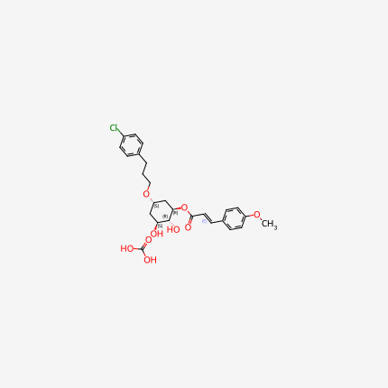 COc1ccc(/C=C/C(=O)O[C@@H]2C[C@@H](OCCCc3ccc(Cl)cc3)C[C@H](O)[C@H]2O)cc1.O=C(O)O